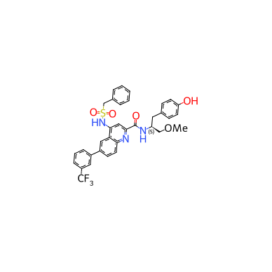 COC[C@H](Cc1ccc(O)cc1)NC(=O)c1cc(NS(=O)(=O)Cc2ccccc2)c2cc(-c3cccc(C(F)(F)F)c3)ccc2n1